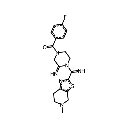 CN1CCc2nc(C(=N)N3CCN(C(=O)c4ccc(F)cc4)CC3=N)sc2C1